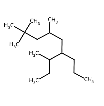 CCCC(CC(C)CC(C)(C)C)[C](C)CC